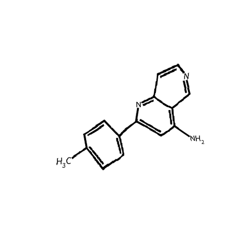 Cc1ccc(-c2cc(N)c3cnccc3n2)cc1